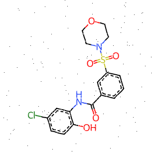 O=C(Nc1cc(Cl)ccc1O)c1cccc(S(=O)(=O)N2CCOCC2)c1